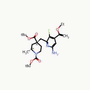 C=C(OCC)c1cc(N)nc(C[C@@]2(C(=O)OC(C)(C)C)CCN(C(=O)OC(C)(C)C)[C@H](C)C2)c1F